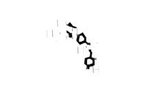 C#CCN(C(=O)C=C)c1ccc(C(=O)NCc2ccc(C)cc2Cl)cc1